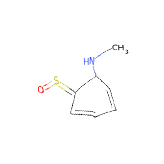 CNC1C=CC=CC1=S=O